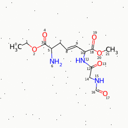 CCOC(=O)C(N)CC=CC(NC(=O)CNC=O)C(=O)OC